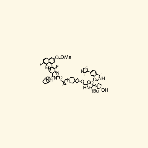 CCc1c(F)ccc2cc(OCOC)cc(-c3ncc4c(N5CC6CCC(C5)N6)nc(OCC5(CN6CCC7(CC6)CC(OCC(=O)N[C@H](C(=O)N6C[C@H](O)C[C@H]6C(=O)N[C@@H](C)c6ccc(-c8scnc8C)cc6)C(C)(C)C)C7)CC5)nc4c3F)c12